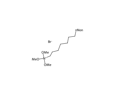 CCCCCCCCCCCCCCCC[N+](OC)(OC)OC.[Br-]